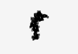 Cc1ccc(C(C)(O)CC(=O)NC2(c3cccc(OCC(F)(F)F)c3)CC2)cc1